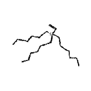 C=C[Si](CCCCCC)(CCCCCC)CCCCCC